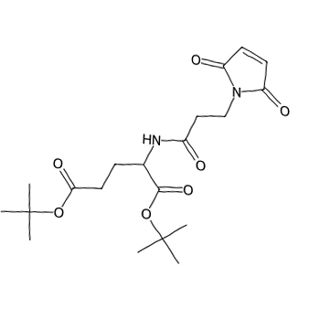 CC(C)(C)OC(=O)CCC(NC(=O)CCN1C(=O)C=CC1=O)C(=O)OC(C)(C)C